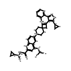 Cc1cccnc1-c1noc(C2CC2)c1C1=CC2(CCN(c3ccc4nc(C(=O)N[S+]([O-])C5CC5)cc(OC(F)F)c4c3)CC2)C1